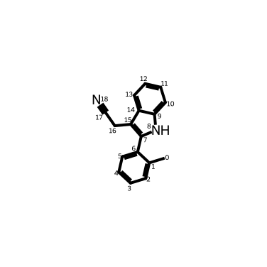 Cc1ccccc1-c1[nH]c2ccccc2c1CC#N